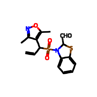 C=CC(c1c(C)noc1C)S(=O)(=O)N1c2ccccc2SC1C=O